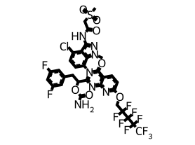 Cn1nc(NC(=O)CS(C)(=O)=O)c2c(Cl)ccc(-n3c(C(Cc4cc(F)cc(F)c4)OC(N)=O)nc4nc(OCC(F)(F)C(F)(F)C(F)(F)C(F)(F)F)ccc4c3=O)c21